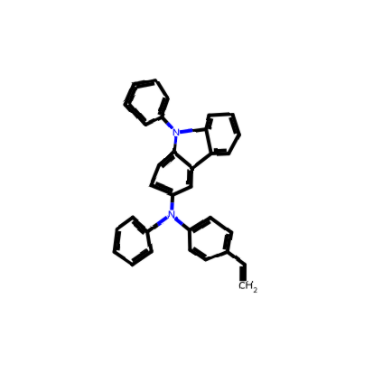 C=Cc1ccc(N(c2ccccc2)c2ccc3c(c2)c2ccccc2n3C2=CC=C=C=C2)cc1